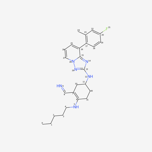 CCCCCNC1=C(C=N)CC(Nc2nc3c(-c4ccc(F)cc4C)cccn3n2)CC1